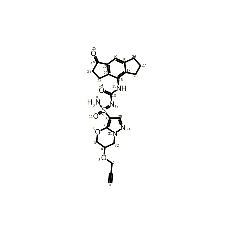 C#CCOC1COc2c(S(N)(=O)=NC(=O)Nc3c4c(cc5c3CCC5=O)CCC4)cnn2C1